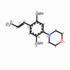 COc1cc(N2CCOCC2)c(OC)cc1/C=C/[N+](=O)[O-]